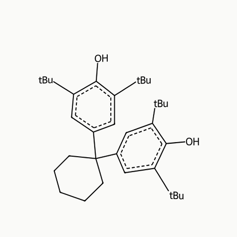 CC(C)(C)c1cc(C2(c3cc(C(C)(C)C)c(O)c(C(C)(C)C)c3)CCCCC2)cc(C(C)(C)C)c1O